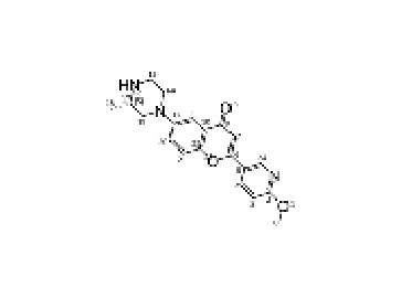 COc1ccc(-c2cc(=O)c3cc(N4CCN[C@@H](C)C4)ccc3o2)cn1